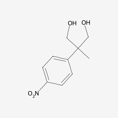 CC(CO)(CO)c1ccc([N+](=O)[O-])cc1